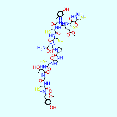 COC(=O)CCC(CN[C@@H](Cc1ccc(O)cc1)C(=O)N[C@@H](CS)C(=O)N[C@@H](CS)C(=O)N[C@@H](CC(N)=O)C(=O)N1CCC[C@H]1C(=O)NC(C)C(=O)N[C@@H](CS)C(=O)N[C@H](C(=O)NCC(=O)NC(CS)C(=O)NC(Cc1ccc(O)cc1)C(=O)OC)[C@@H](C)O)N[C@@H](CS)C(=O)C(=O)[C@H](CS)NN